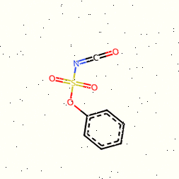 O=C=NS(=O)(=O)Oc1ccccc1